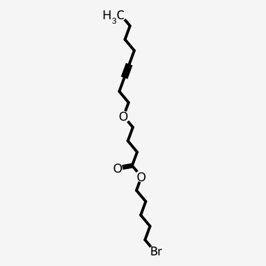 CCCCC#CCCOCCCC(=O)OCCCCCBr